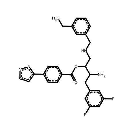 CCc1cccc(CNCC(OC(=O)c2ccc(-c3csnn3)cc2)C(N)Cc2cc(F)cc(F)c2)c1